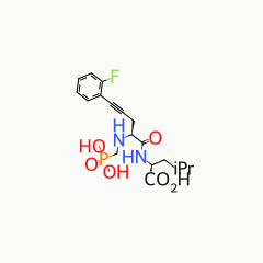 CC(C)C[C@H](NC(=O)[C@H](CC#Cc1ccccc1F)NCP(=O)(O)O)C(=O)O